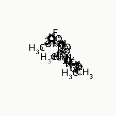 CCOc1ccc(F)c(OC2=CC(=O)N([C@@H](CC(C)C)C(=O)Nc3cnc([C@H]4COC(C)(C)O4)cn3)C2)c1F